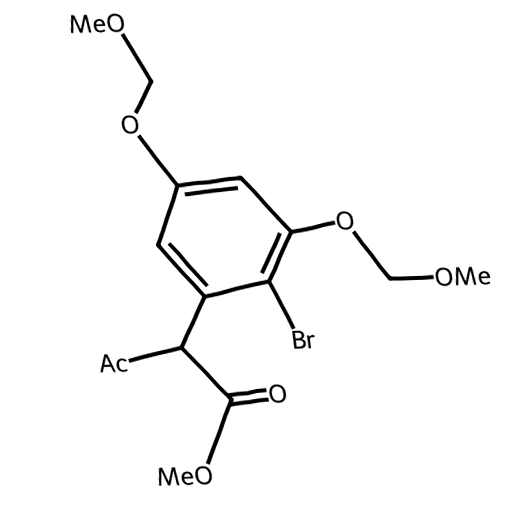 COCOc1cc(OCOC)c(Br)c(C(C(C)=O)C(=O)OC)c1